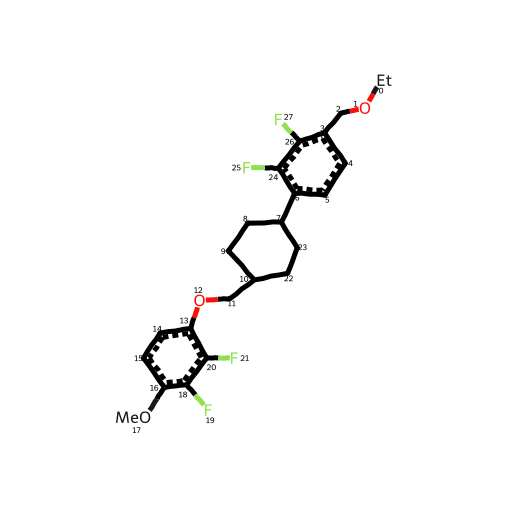 CCOCc1ccc(C2CCC(COc3ccc(OC)c(F)c3F)CC2)c(F)c1F